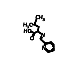 CC(C)CC(N=Cc1ccccn1)C(=O)O